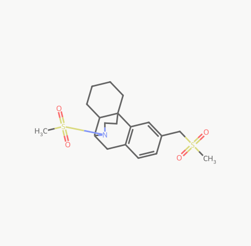 CS(=O)(=O)Cc1ccc2c(c1)C13CCCCC1C(C2)N(S(C)(=O)=O)CC3